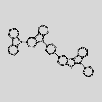 c1ccc(-n2c3ccccc3c3c4cc(-c5ccc(-n6c7ccccc7c7cc(-n8c9ccccc9c9ccccc98)ccc76)cc5)ccc4sc32)cc1